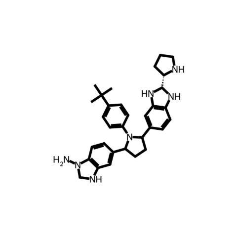 CC(C)(C)c1ccc(N2C(c3ccc4c(c3)NC([C@@H]3CCCN3)N4)CCC2c2ccc3c(c2)NCN3N)cc1